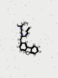 C=C\C=C/C(=C\C=C(/C)C(C)C)Cc1ccc2oc3ccccc3c2c1